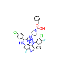 N#Cc1cnc2c(F)cc(NC(c3ccc(Cl)cc3)c3cn(C4CCN(C(O)OCc5ccccc5)CC4)nn3)cc2c1Nc1ccc(F)c(Cl)c1